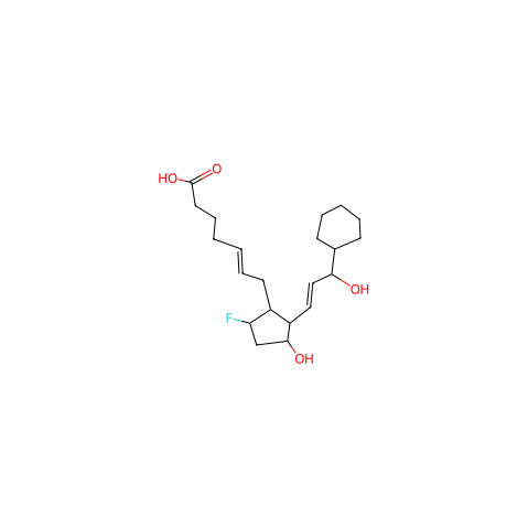 O=C(O)CCC/C=C/CC1C(F)CC(O)C1/C=C/C(O)C1CCCCC1